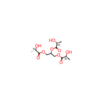 C[C@H](O)C(=O)OCC(COC(=O)[C@H](C)O)OC(=O)[C@H](C)O